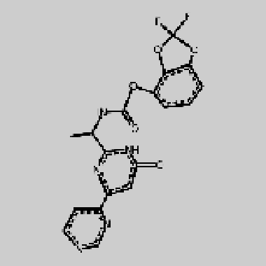 CC(NC(=O)Oc1cccc2c1OC(F)(F)O2)c1nc(-c2ccncn2)cc(=O)[nH]1